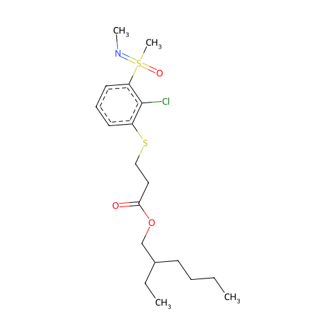 CCCCC(CC)COC(=O)CCSc1cccc(S(C)(=O)=NC)c1Cl